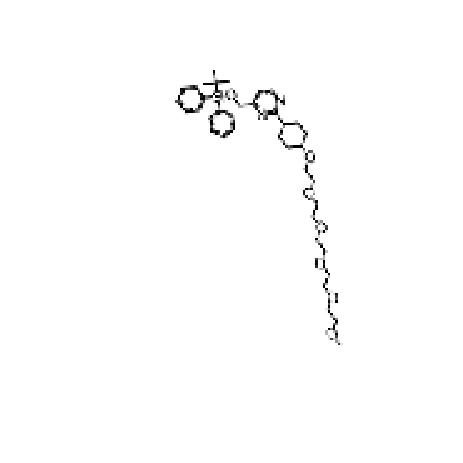 COCCOCCOCCOCCOCCOC1CCC(c2nccc(CO[Si](c3ccccc3)(c3ccccc3)C(C)(C)C)n2)CC1